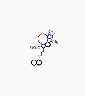 CCOC(=O)c1c(CCCOc2cccc3c2CCCC3)c2ccc(C)c3c2n1CCCCOCc1c-3c(C)nn1C